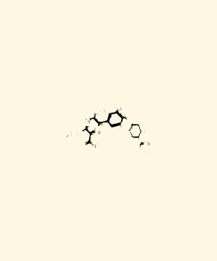 Cc1nc(C)c(-c2ccc(O[C@H]3CC[C@@H](C(=O)O)CC3)c(Cl)c2)nc1C(N)=O